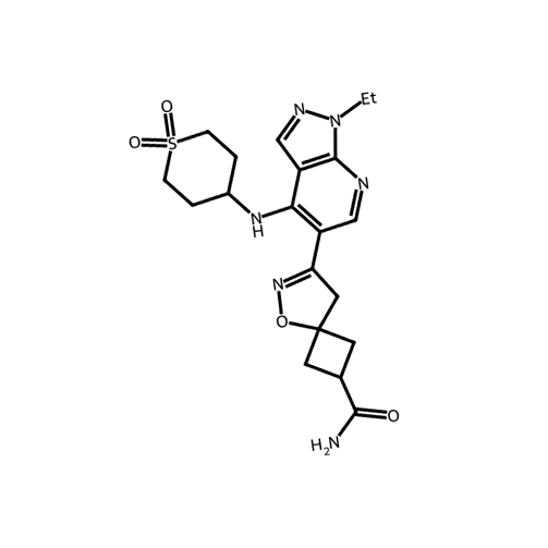 CCn1ncc2c(NC3CCS(=O)(=O)CC3)c(C3=NOC4(C3)CC(C(N)=O)C4)cnc21